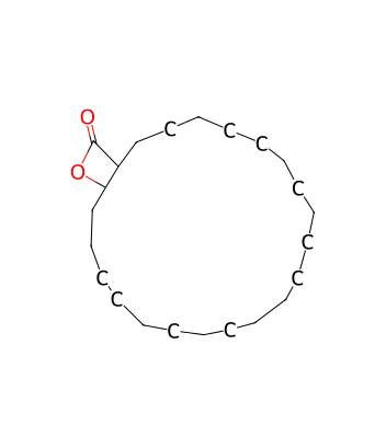 O=C1OC2CCCCCCCCCCCCCCCCCCCCC12